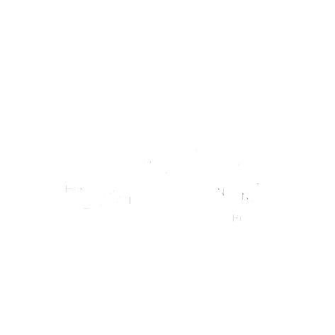 CCCCC1=NC2(CCCC2)C(=O)N1Cc1ccc(-c2ccccc2OCCCC(C)(C)C(=O)O)cc1